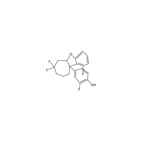 Oc1ccc(C23CCCC(F)(F)CC2Oc2cccc(F)c23)cc1F